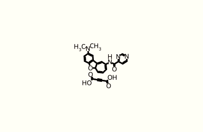 CN(C)c1ccc2c(c1)C1=CC(NC(=O)c3ccncn3)=CC=CC1O2.O=C(O)C#CC(=O)O